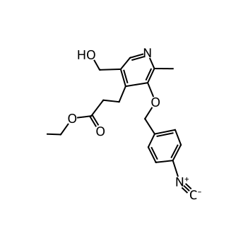 [C-]#[N+]c1ccc(COc2c(C)ncc(CO)c2CCC(=O)OCC)cc1